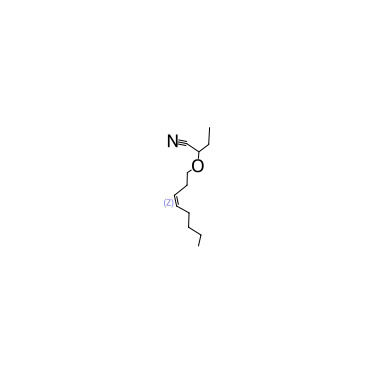 CCCC/C=C\CCOC(C#N)CC